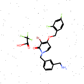 NCc1cccc(Cn2ccc(OCc3ccc(F)cc3F)c(Br)c2=O)c1.O=C(O)C(F)(F)F